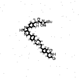 Cc1cc(-c2n[nH]c3ncc(-c4ccc(N5CCN(CCc6ccc(C7CCC(=O)NC7=O)c(F)c6)CC5)cc4)cc23)ccc1[C@@H](C)NC(=O)c1nc(C(C)(C)C)no1